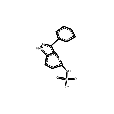 CC(C)S(=O)(=O)Nc1ccc2[nH]nc(-c3ccccc3)c2c1